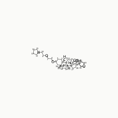 C[C@]12CC[C@H](OCCOCCN3CCCC3)C[C@H]1CC[C@@H]1[C@@H]2CC[C@@]2(C)[C@H]1CC[C@@]2(O)c1ccoc1